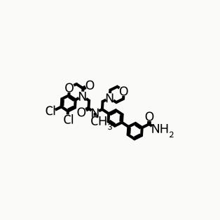 CN(C(=O)CN1C(=O)COc2cc(Cl)c(Cl)cc21)C(CN1CCOCC1)c1ccc(-c2cccc(C(N)=O)c2)cc1